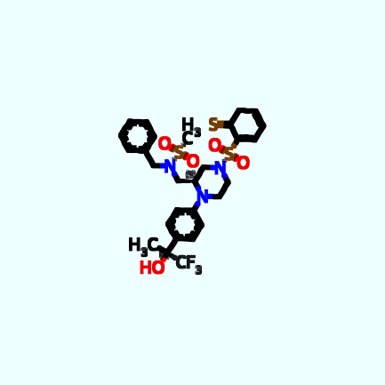 C[C@@](O)(c1ccc(N2CCN(S(=O)(=O)C3=CC=CCC3=S)C[C@@H]2CN(Cc2ccccc2)S(C)(=O)=O)cc1)C(F)(F)F